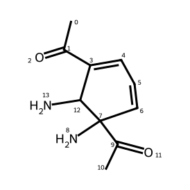 CC(=O)C1=CC=CC(N)(C(C)=O)C1N